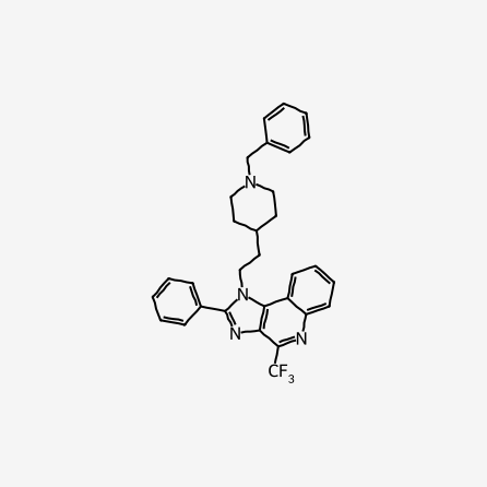 FC(F)(F)c1nc2ccccc2c2c1nc(-c1ccccc1)n2CCC1CCN(Cc2ccccc2)CC1